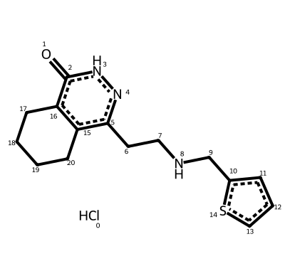 Cl.O=c1[nH]nc(CCNCc2cccs2)c2c1CCCC2